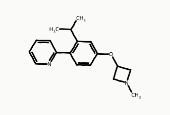 CC(C)c1cc(OC2CN(C)C2)ccc1-c1ccc[c]n1